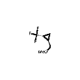 COC[C@@H]1C[C@H]1C(F)(F)F